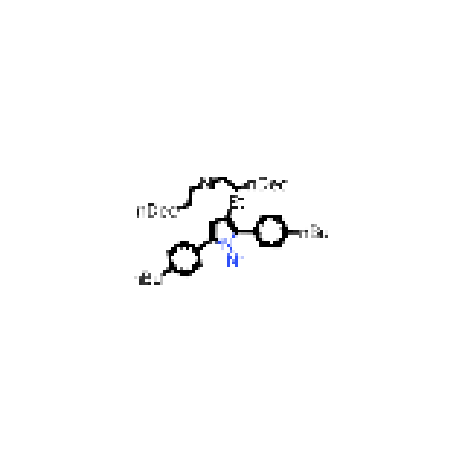 CCCCCCCCCCC[CH2][Ni][CH2]CCCCCCCCCCC.CCCCc1ccc(C2=CC(CC)=C(c3ccc(CCCC)cc3)[N+]2=[N-])cc1